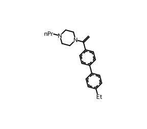 C=C(c1ccc(-c2ccc(CC)cc2)cc1)N1CCN(CCC)CC1